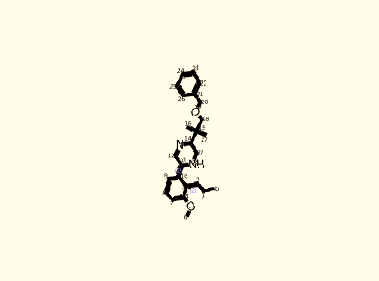 CC/C=c1\c(OC)ccc\c1=C1/C=NC(C(C)(C)COCc2ccccc2)CN1